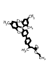 C=C(C(=O)OCC)c1ccc(-c2ccc(N(c3ccc(C)cc3C)c3c(C)cc(C)cc3C)cc2)cc1